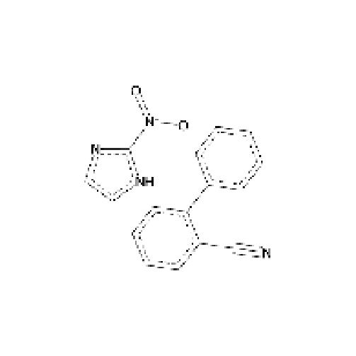 N#Cc1ccccc1-c1ccccc1.O=[N+]([O-])c1ncc[nH]1